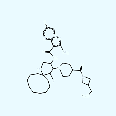 COCC1CN(C(=O)C2CCN(C3C(NC(=O)c4c(N)nn5cc(F)cnc45)CNC4(CCCCCCCCC4)C3F)CC2)C1